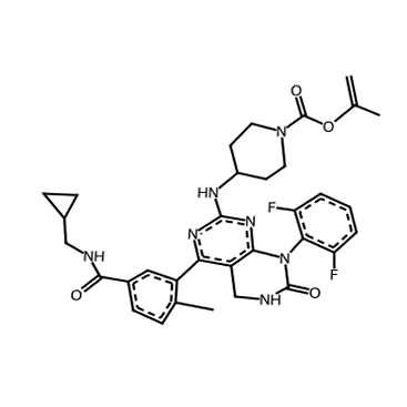 C=C(C)OC(=O)N1CCC(Nc2nc(-c3cc(C(=O)NCC4CC4)ccc3C)c3c(n2)N(c2c(F)cccc2F)C(=O)NC3)CC1